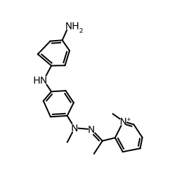 C/C(=N\N(C)c1ccc(Nc2ccc(N)cc2)cc1)c1cccc[n+]1C